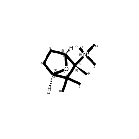 CC1(C)[C@H]2CC[C@H](O2)[C@]1(C)[N+](C)(C)C